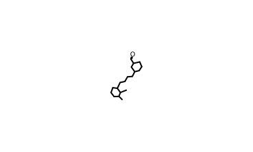 CC1CCCC(CCCCC2CCCC(C=O)C2)C1C